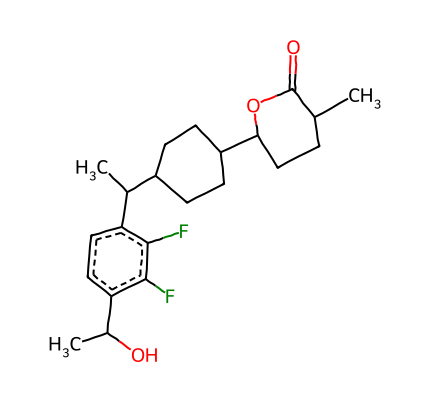 CC1CCC(C2CCC(C(C)c3ccc(C(C)O)c(F)c3F)CC2)OC1=O